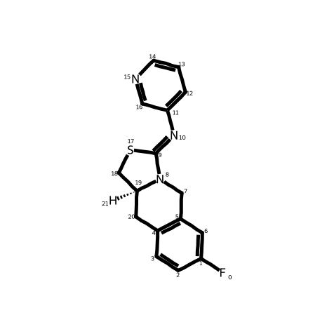 Fc1ccc2c(c1)CN1C(=Nc3cccnc3)SC[C@@H]1C2